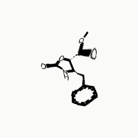 COC(=O)[C@H]1OC(=O)N[C@@H]1Cc1ccccc1